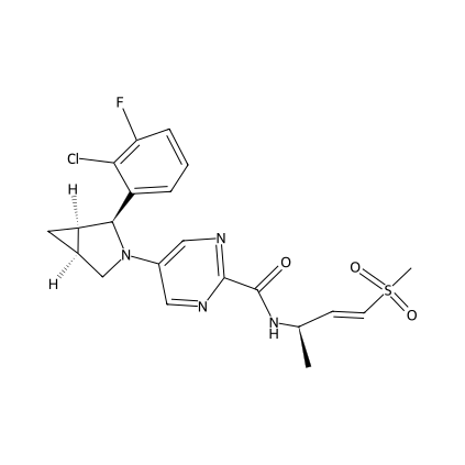 C[C@H](/C=C/S(C)(=O)=O)NC(=O)c1ncc(N2C[C@H]3C[C@H]3[C@H]2c2cccc(F)c2Cl)cn1